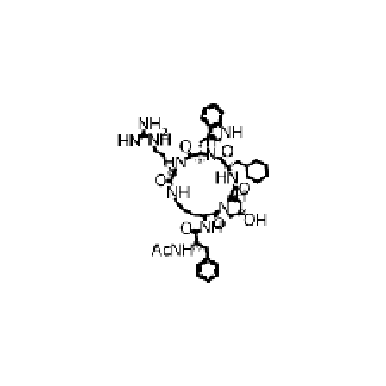 CC(=O)N[C@@H](Cc1ccccc1)C(=O)NC1CCCNC(=O)[C@H](CCCNC(=N)N)NC(=O)[C@H](Cc2c[nH]c3ccccc23)NC(=O)[C@@H](CC2CCCCC2)NC(=O)[C@@H]2C[C@@H](O)CN2C1=O